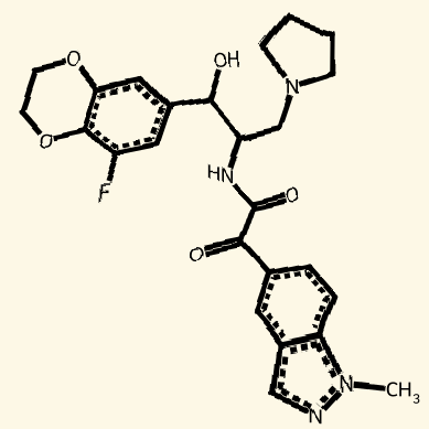 Cn1ncc2cc(C(=O)C(=O)NC(CN3CCCC3)C(O)c3cc(F)c4c(c3)OCCO4)ccc21